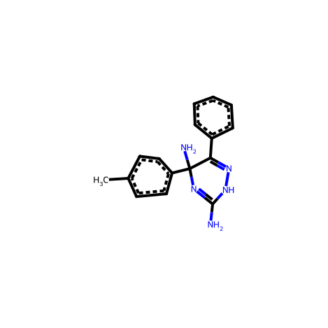 Cc1ccc(C2(N)N=C(N)NN=C2c2ccccc2)cc1